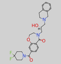 O=C(c1ccc2c(c1)OCCN(C[C@H](O)CN1CCc3ccccc3C1)C2=O)N1CCC(F)(F)CC1